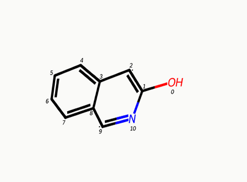 Oc1[c]c2ccccc2[c]n1